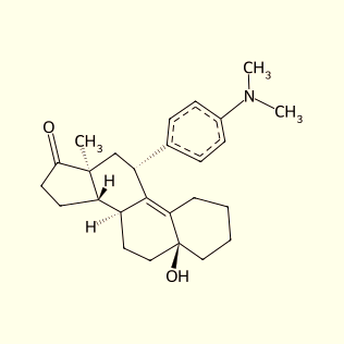 CN(C)c1ccc([C@H]2C[C@]3(C)C(=O)CC[C@H]3[C@@H]3CC[C@@]4(O)CCCCC4=C32)cc1